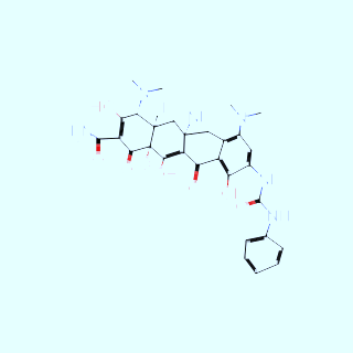 CN(C)c1cc(NC(=O)Nc2ccccc2)c(O)c2c1C[C@@]1(N)C[C@H]3[C@H](N(C)C)C(O)=C(C(N)=O)C(=O)[C@@]3(O)C(O)=C1C2=O